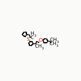 CC(Cc1ccccc1)Sc1cccc(C(C)CCOc2ccc(C(C)C)cc2)c1